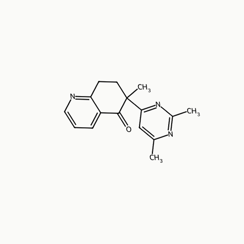 Cc1cc(C2(C)CCc3ncccc3C2=O)nc(C)n1